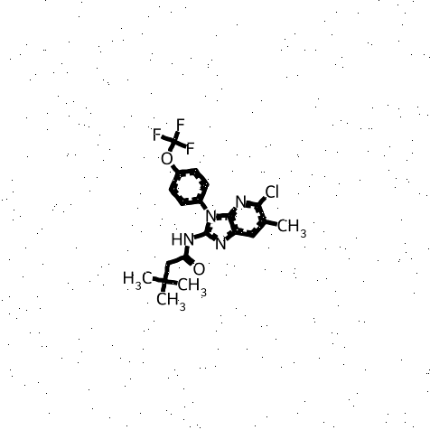 Cc1cc2nc(NC(=O)CC(C)(C)C)n(-c3ccc(OC(F)(F)F)cc3)c2nc1Cl